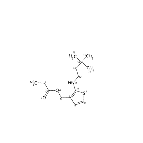 CCC(=O)OCc1ccsc1NCCC(C)(C)C